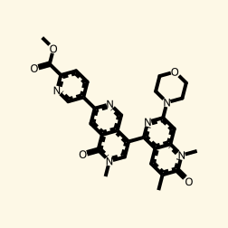 COC(=O)c1ccc(-c2cc3c(=O)n(C)cc(-c4nc(N5CCOCC5)cc5c4cc(C)c(=O)n5C)c3cn2)cn1